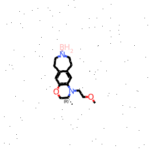 BN1CCc2cc3c(cc2CC1)N(CCOC)[C@H](C)CO3